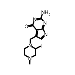 CN1CCN(CC2=C3C(=O)N=C(N)N=C3N=C2)C(I)C1